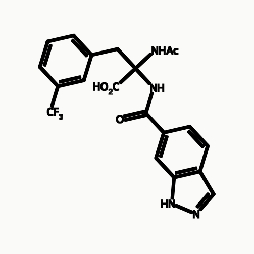 CC(=O)NC(Cc1cccc(C(F)(F)F)c1)(NC(=O)c1ccc2cn[nH]c2c1)C(=O)O